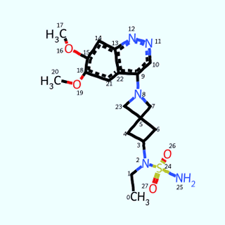 CCN(C1CC2(C1)CN(c1cnnc3cc(OC)c(OC)cc13)C2)S(N)(=O)=O